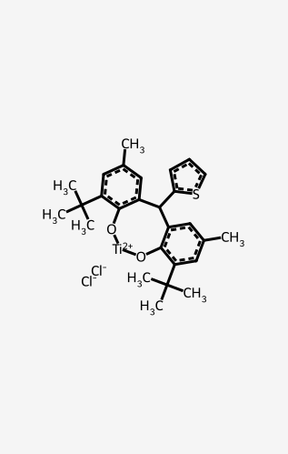 Cc1cc2c(c(C(C)(C)C)c1)[O][Ti+2][O]c1c(cc(C)cc1C(C)(C)C)C2c1cccs1.[Cl-].[Cl-]